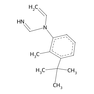 C=CN(C=N)c1cccc(C(C)(C)C)c1C